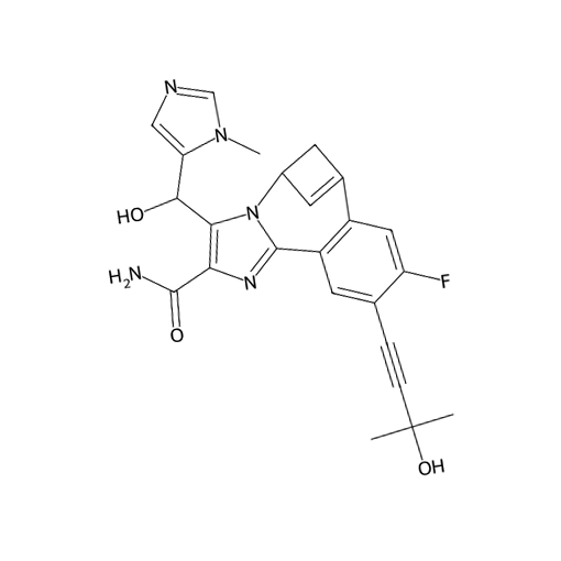 Cn1cncc1C(O)c1c(C(N)=O)nc2n1C1C=C(C1)c1cc(F)c(C#CC(C)(C)O)cc1-2